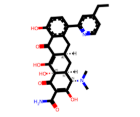 CCc1ccnc(-c2ccc(O)c3c2C[C@H]2C[C@H]4[C@H](N(C)C)C(O)=C(C(N)=O)C(=O)[C@@]4(O)C(O)=C2C3=O)c1